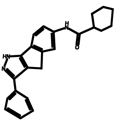 O=C(Nc1ccc2c(c1)Cc1c(-c3ccccc3)n[nH]c1-2)C1CCCCC1